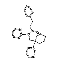 O=C(CCc1ccccc1)N(CC1(c2ccccc2)CCCCC1)c1ncccn1